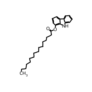 CCCCCCCCCCCCCCCC(=O)Oc1cccc2c1[nH]c1ccccc12